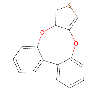 c1ccc2c(c1)oc1cscc1oc1ccccc12